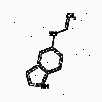 C=CNc1ccc2[nH]ccc2c1